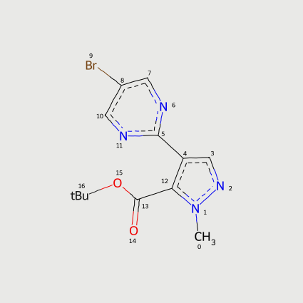 Cn1ncc(-c2ncc(Br)cn2)c1C(=O)OC(C)(C)C